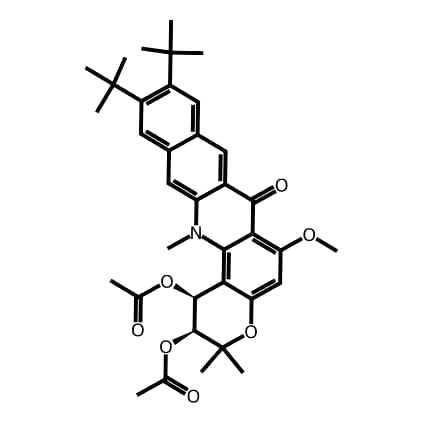 COc1cc2c(c3c1c(=O)c1cc4cc(C(C)(C)C)c(C(C)(C)C)cc4cc1n3C)[C@H](OC(C)=O)[C@H](OC(C)=O)C(C)(C)O2